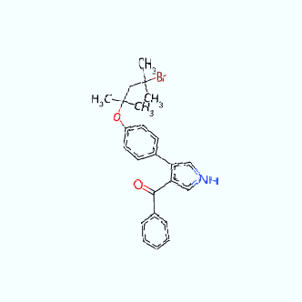 CC(C)(Br)CC(C)(C)Oc1ccc(-c2c[nH]cc2C(=O)c2ccccc2)cc1